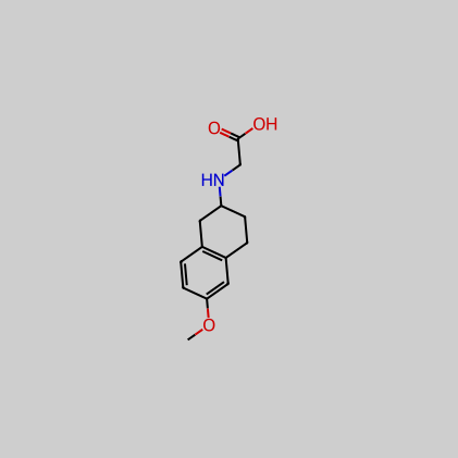 COc1ccc2c(c1)CCC(NCC(=O)O)C2